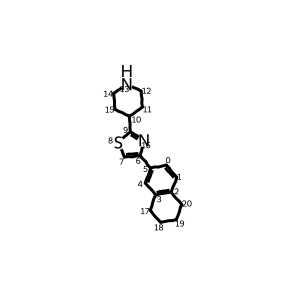 c1cc2c(cc1-c1csc(C3CCNCC3)n1)CCCC2